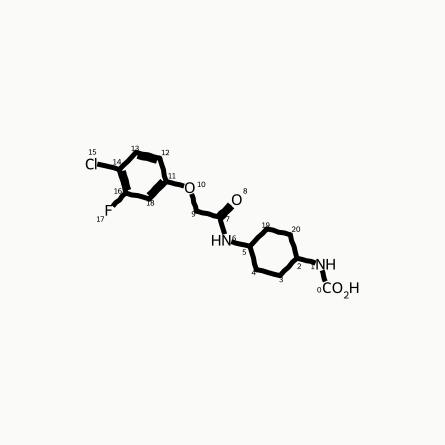 O=C(O)NC1CCC(NC(=O)COc2ccc(Cl)c(F)c2)CC1